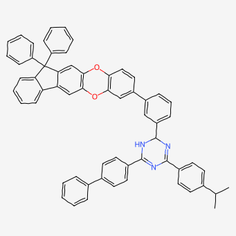 CC(C)c1ccc(C2=NC(c3cccc(-c4ccc5c(c4)Oc4cc6c(cc4O5)C(c4ccccc4)(c4ccccc4)c4ccccc4-6)c3)NC(c3ccc(-c4ccccc4)cc3)=N2)cc1